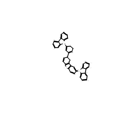 C1=CC(C2=CCCC(n3c4ccccc4c4ccccc43)=C2)Cc2c1oc1ccc(-n3c4ccccc4c4ccccc43)cc21